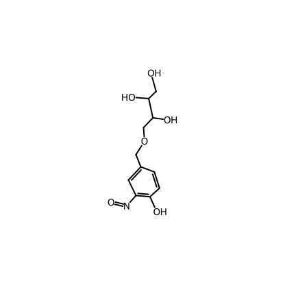 O=Nc1cc(COCC(O)C(O)CO)ccc1O